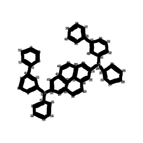 C1=C=CC(c2cccc(N(c3ccccc3)c3cc4ccc5cc(N(c6ccccc6)c6cccc(-c7ccccc7)c6)cc6ccc(c3)c4c56)c2)=CC=1